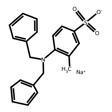 Cc1cc(S(=O)(=O)[O-])ccc1N(Cc1ccccc1)Cc1ccccc1.[Na+]